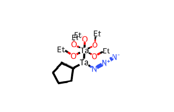 CC[O][Ta]([O]CC)([O]CC)([O]CC)([O]CC)[Ta]([N]=[N+]=[N-])[CH]1CCCC1